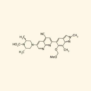 COCOc1c(-c2cc(C#N)c3cc(N4C[C@H](C)N(C(=O)O)[C@@H](C)C4)cnc3n2)cc2cn(C)nc2c1C